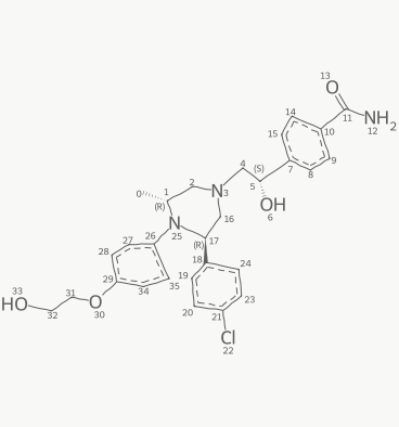 C[C@@H]1CN(C[C@@H](O)c2ccc(C(N)=O)cc2)C[C@@H](c2ccc(Cl)cc2)N1c1ccc(OCCO)cc1